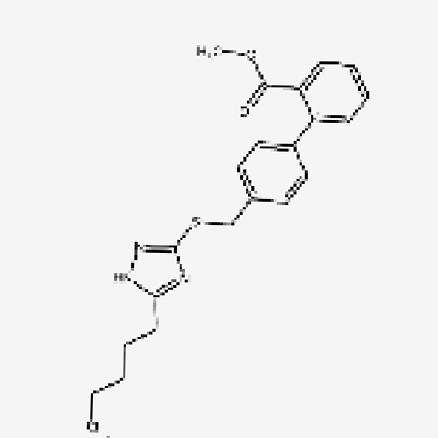 CCCCCc1nc(SCc2ccc(-c3ccccc3C(=O)OC)cc2)n[nH]1